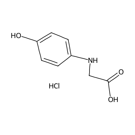 Cl.O=C(O)CNc1ccc(O)cc1